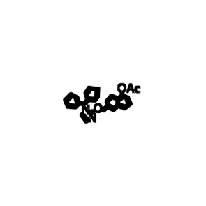 CC(=O)Oc1cccc2c1CCC(COc1nccn1C(c1ccccc1)c1ccccc1)=C2